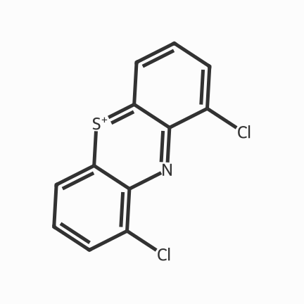 Clc1cccc2[s+]c3cccc(Cl)c3nc12